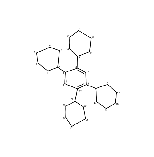 c1c(C2CCCCC2)c(C2CCCCC2)cc(C2CCCCC2)c1C1CCCCC1